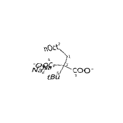 CCCCCCCCCC(C(=O)[O-])(C(=O)[O-])C(C)(C)C.[Na+].[Na+]